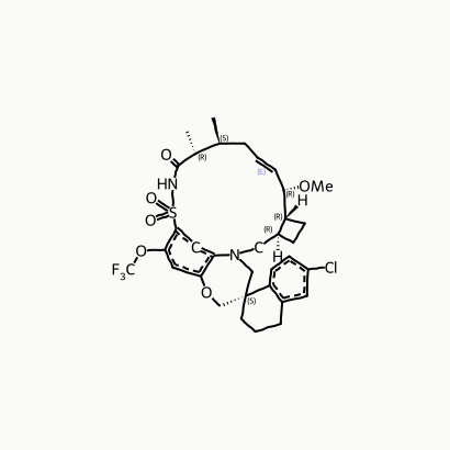 CO[C@H]1/C=C/C[C@H](C)[C@@H](C)C(=O)NS(=O)(=O)c2cc3c(cc2OC(F)(F)F)OC[C@]2(CCCc4cc(Cl)ccc42)CN3C[C@@H]2CC[C@H]21